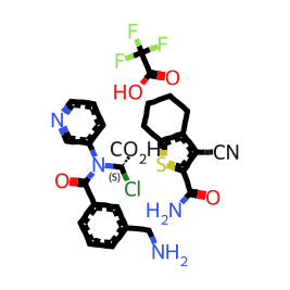 N#Cc1c(C(N)=O)sc2c1CCCC2.NCc1cccc(C(=O)N(c2cccnc2)[C@@H](Cl)C(=O)O)c1.O=C(O)C(F)(F)F